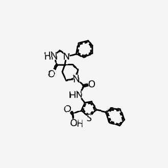 O=C(O)c1sc(-c2ccccc2)cc1NC(=O)N1CCC2(CC1)C(=O)NCN2c1ccccc1